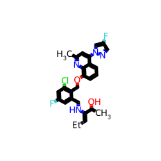 CC/C=C(\NCc1cc(F)cc(Cl)c1COc1cccc2c(-n3cc(F)cn3)cc(C)nc12)C(C)O